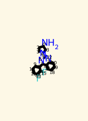 N[C@@H]1CCN(c2nc(-c3cccc(F)c3F)c3ccccc3n2)C1